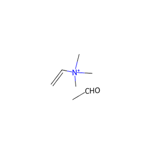 C=C[N+](C)(C)C.CC=O